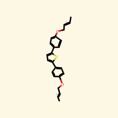 C/C=C/COc1ccc(-c2ccc(-c3ccc(OC/C=C/C)cc3)s2)cc1